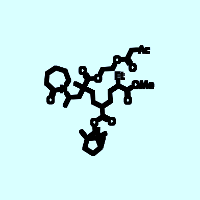 CCC(CCC(CCC(C)(CC(C)N1CCCCCC1=O)C(=O)OCCOC(=O)CC(C)=O)C(=O)OC1CC2CCC1(C)C2(C)C)C(=O)OC